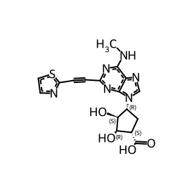 CNc1nc(C#Cc2nccs2)nc2c1ncn2[C@@H]1C[C@H](C(=O)O)[C@@H](O)[C@H]1O